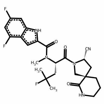 CN(C(=O)c1cc2c(F)cc(F)cc2[nH]1)[C@@H](CC(C)(C)F)C(=O)N1C[C@]2(CCCNC2=O)C[C@H]1C#N